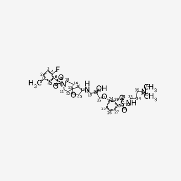 Cc1ccc(F)c(S(=O)(=O)N2CCC3(CC2)CC(NC[C@H](O)COc2cccc(S(=O)(=O)NCCCN(C)C)c2)CO3)c1